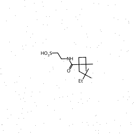 CCC(C)(C)CC1(C(=O)NCCS(=O)(=O)O)CCC1(C)C